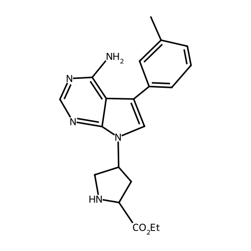 CCOC(=O)C1CC(n2cc(-c3cccc(C)c3)c3c(N)ncnc32)CN1